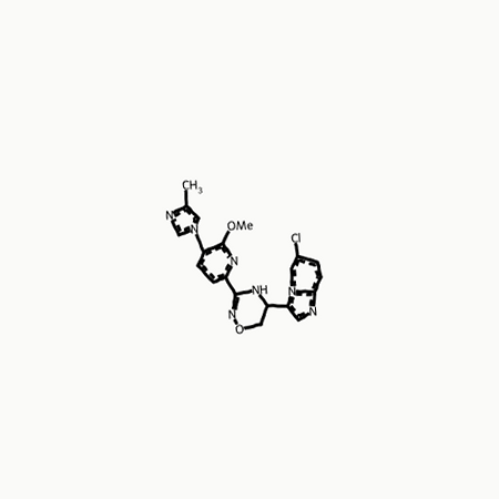 COc1nc(C2=NOCC(c3cnc4ccc(Cl)cn34)N2)ccc1-n1cnc(C)c1